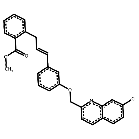 COC(=O)c1ccccc1C/C=C/c1cccc(OCc2ccc3ccc(Cl)cc3n2)c1